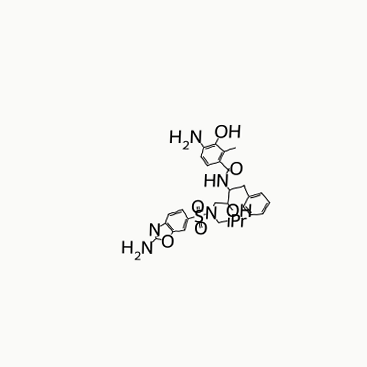 Cc1c(C(=O)NC(Cc2ccccc2)C(O)CN(CC(C)C)S(=O)(=O)c2ccc3nc(N)oc3c2)ccc(N)c1O